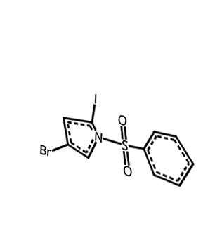 O=S(=O)(c1ccccc1)n1cc(Br)cc1I